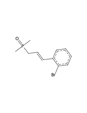 CP(C)(=O)C/C=C/c1ccccc1Br